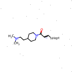 CCCCCCC/C=C/C(=O)N1CCC(CCN(C)C)CC1